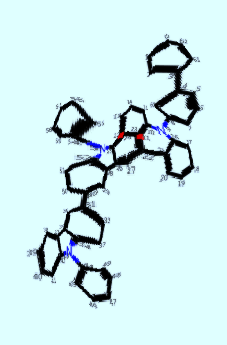 c1ccc(-c2cccc(N(c3ccccc3)c3ccccc3-c3ccc4c(c3)c3cc(-c5ccc6c(c5)c5ccccc5n6-c5ccccc5)ccc3n4-c3ccccc3)c2)cc1